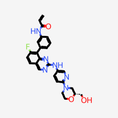 C=CC(=O)Nc1cccc(-c2c(F)ccc3cnc(Nc4ccc(N5CCO[C@@H](CO)C5)nc4)nc23)c1